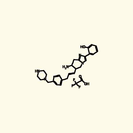 NC1Cc2nc(-c3ccccc3O)cn2CC1/C=C/Cc1ccc(CN2CCNCC2)cc1.O=C(O)C(F)(F)F